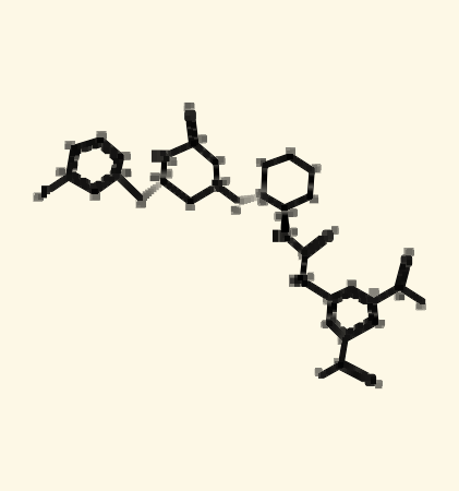 CC(=O)c1cc(NC(=O)N[C@@H]2CCCC[C@H]2CN2CC(=O)N[C@@H](Cc3cccc(F)c3)C2)cc(C(C)=O)c1